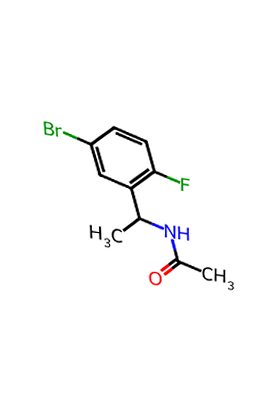 CC(=O)NC(C)c1cc(Br)ccc1F